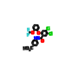 O=C(O)c1ccc(NC(=O)c2cc(Cl)c(Cl)cc2Oc2ccccc2OC(F)F)cc1